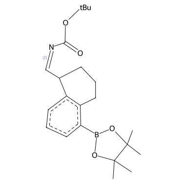 CC(C)(C)OC(=O)/N=C\C1CCCc2c(B3OC(C)(C)C(C)(C)O3)cccc21